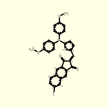 COc1ccc(N(c2ccc(OC)cc2)c2ccc(/C=C3\C(=O)c4cc5ccc(F)cc5cc4C3=O)s2)cc1